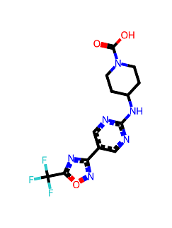 O=C(O)N1CCC(Nc2ncc(-c3noc(C(F)(F)F)n3)cn2)CC1